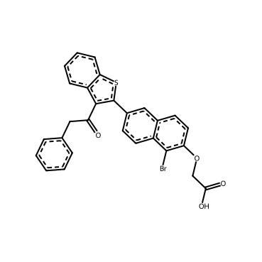 O=C(O)COc1ccc2cc(-c3sc4ccccc4c3C(=O)Cc3ccccc3)ccc2c1Br